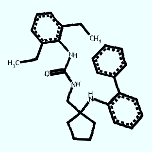 CCc1cccc(CC)c1NC(=O)NCC1(Nc2ccccc2-c2ccccc2)CCCC1